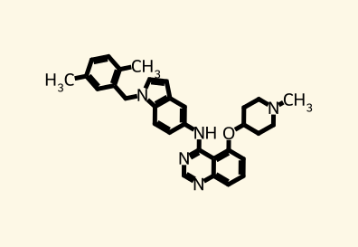 Cc1ccc(C)c(Cn2ccc3cc(Nc4ncnc5cccc(OC6CCN(C)CC6)c45)ccc32)c1